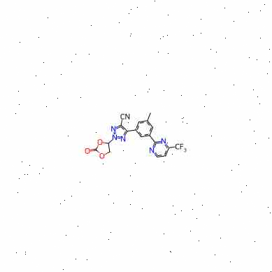 Cc1cc(-c2nccc(C(F)(F)F)n2)cc(-c2nn(C3COC(=O)O3)nc2C#N)c1